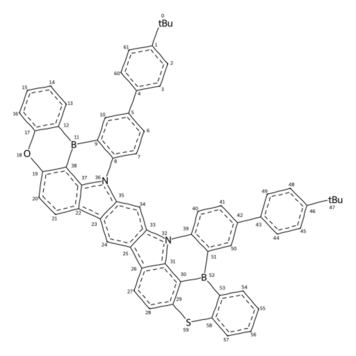 CC(C)(C)c1ccc(-c2ccc3c(c2)B2c4ccccc4Oc4ccc5c6cc7c8ccc9c%10c8n(c7cc6n-3c5c42)-c2ccc(-c3ccc(C(C)(C)C)cc3)cc2B%10c2ccccc2S9)cc1